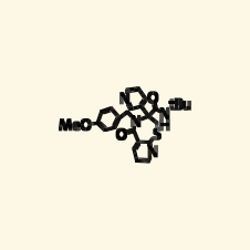 COc1ccc(CN2C(=O)c3cccnc3SCC2(C(=O)NC(C)(C)C)c2cccnc2)cc1